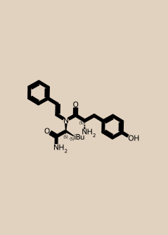 CC[C@H](C)[C@@H](C(N)=O)N(C=Cc1ccccc1)C(=O)[C@@H](N)Cc1ccc(O)cc1